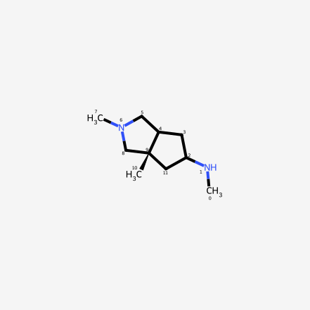 CNC1CC2CN(C)C[C@@]2(C)C1